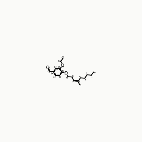 CCCCCC(C)=CCCOc1ccc(C=O)cc1OCC